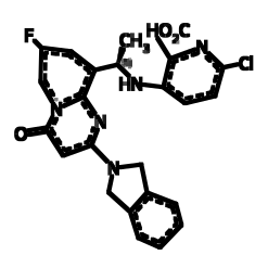 C[C@@H](Nc1ccc(Cl)nc1C(=O)O)c1cc(F)cn2c(=O)cc(N3Cc4ccccc4C3)nc12